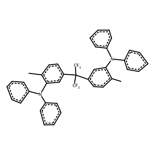 Cc1ccc(C(c2ccc(C)c(N(c3ccccc3)c3ccccc3)c2)(C(F)(F)F)C(F)(F)F)cc1N(c1ccccc1)c1ccccc1